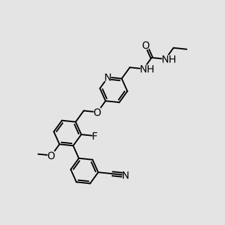 CCNC(=O)NCc1ccc(OCc2ccc(OC)c(-c3cccc(C#N)c3)c2F)cn1